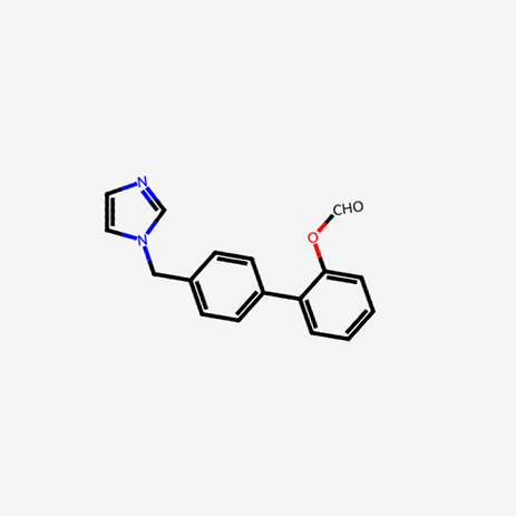 O=COc1ccccc1-c1ccc(Cn2ccnc2)cc1